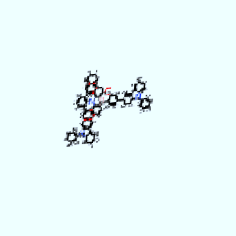 c1ccc(-c2cc3c4c(c2)N(c2c(-c5ccccc5)cccc2-c2ccccc2)c2cc(-c5ccc6c(c5)c5ccccc5n6-c5ccccc5)ccc2B4c2ccc(-c4ccc5c(c4)c4ccccc4n5-c4ccccc4)cc2O3)cc1